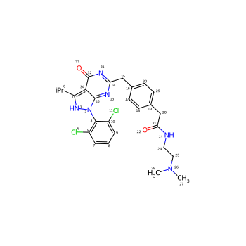 CC(C)c1[nH]n(-c2c(Cl)cccc2Cl)c2nc(Cc3ccc(CC(=O)NCCN(C)C)cc3)nc(=O)c1-2